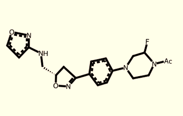 CC(=O)N1CCN(c2ccc(C3=NO[C@H](CNc4ccon4)C3)cc2)CC1F